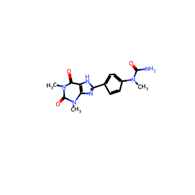 CN(C(N)=O)c1ccc(-c2nc3c([nH]2)c(=O)n(C)c(=O)n3C)cc1